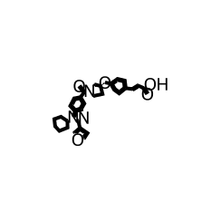 O=C(O)/C=C/c1ccc(O[C@@H]2CCN(C(=O)c3ccc4c(c3)nc(-c3ccoc3)n4C3CCCCC3)C2)cc1